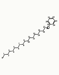 CCCCCCCCCCCCCCCCC[CH]Oc1ccccc1